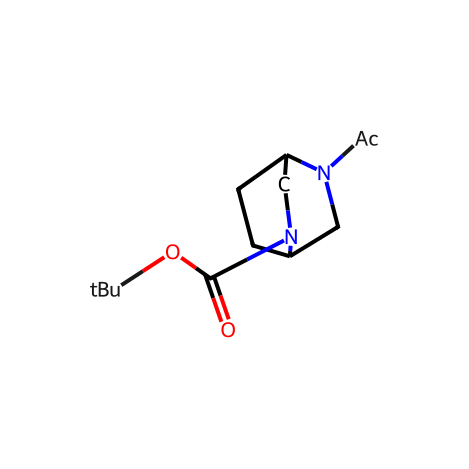 CC(=O)N1CC2CCC1CN2C(=O)OC(C)(C)C